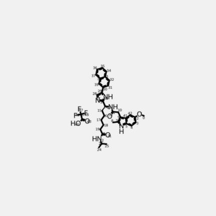 COc1ccc2[nH]c(C)c(CC(=O)N[C@@H](CCCCCC(=O)NC(C)C)c3ncc(-c4ccc5ccccc5c4)[nH]3)c2c1.O=C(O)C(F)(F)F